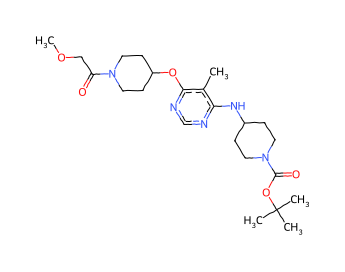 COCC(=O)N1CCC(Oc2ncnc(NC3CCN(C(=O)OC(C)(C)C)CC3)c2C)CC1